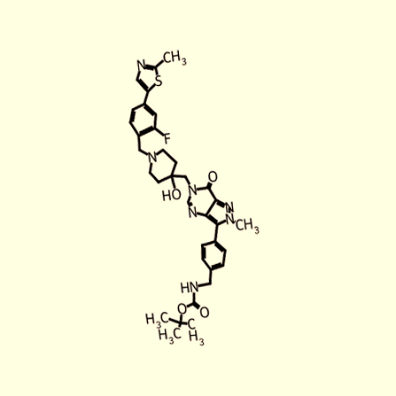 Cc1ncc(-c2ccc(CN3CCC(O)(Cn4cnc5c(-c6ccc(CNC(=O)OC(C)(C)C)cc6)n(C)nc5c4=O)CC3)c(F)c2)s1